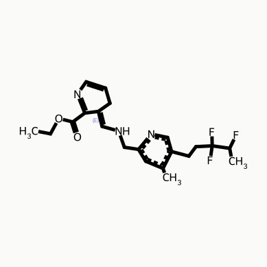 CCOC(=O)C1=NC=CC/C1=C\NCc1cc(C)c(CCC(F)(F)C(C)F)cn1